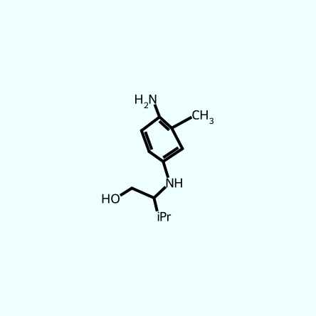 Cc1cc(NC(CO)C(C)C)ccc1N